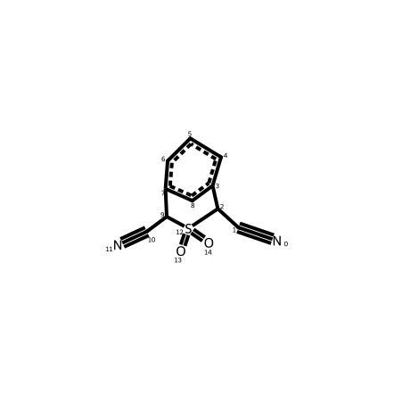 N#CC1c2cccc(c2)C(C#N)S1(=O)=O